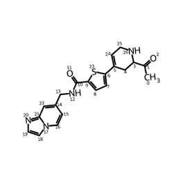 CC(=O)C1CC(c2ccc(C(=O)NCc3ccn4ccnc4c3)s2)=CCN1